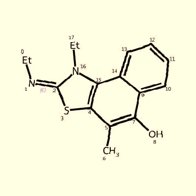 CC/N=c1/sc2c(C)c(O)c3ccccc3c2n1CC